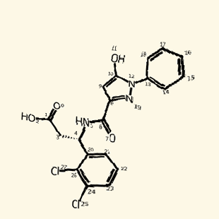 O=C(O)C[C@H](NC(=O)c1cc(O)n(-c2ccccc2)n1)c1cccc(Cl)c1Cl